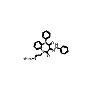 CCCCCCN=CCn1c(=O)c(=NNc2ccccc2)c(=O)n(-c2ccccc2)c2ccccc21